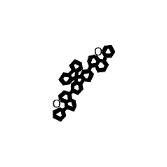 c1ccc2c(c1)Oc1ccc(-c3ccc4c(c3)C3(c5ccccc5-c5ccccc53)c3cc(-c5ccc6c7c(cccc57)-c5ccccc5O6)ccc3-4)c3cccc-2c13